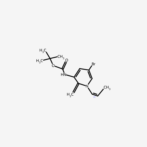 C=C1C(NC(=O)OC(C)(C)C)=CC(Br)=CN1/C=C\C